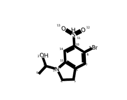 CC(O)N1CCc2cc(Br)c([SH](=O)=O)cc21